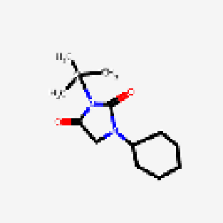 C[Si](C)(C)N1C(=O)CN(C2CCCCC2)C1=O